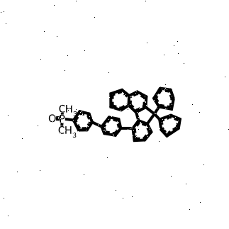 CP(C)(=O)c1ccc(-c2ccc(-c3cccc4c3-c3c(ccc5ccccc35)C4(c3ccccc3)c3ccccc3)cc2)cc1